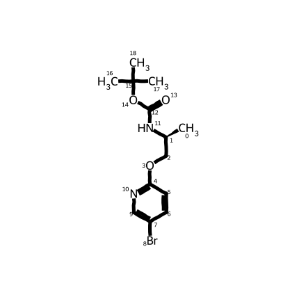 C[C@@H](COc1ccc(Br)cn1)NC(=O)OC(C)(C)C